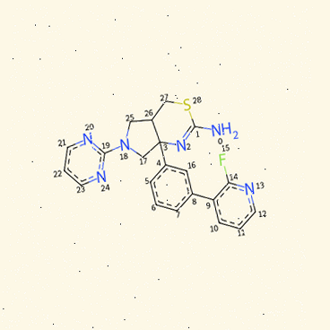 NC1=NC2(c3cccc(-c4cccnc4F)c3)CN(c3ncccn3)CC2CS1